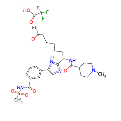 CCC(=O)CCCCC[C@H](NC(=O)C1CCN(C)CC1)c1ncc(-c2cccc(C(=O)NS(C)(=O)=O)c2)[nH]1.O=C(O)C(F)(F)F